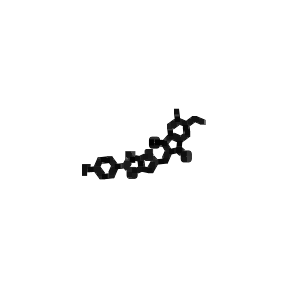 CCc1cc2c(cc1C)C(=O)/C(=C\c1cc3oc(-c4ccc(F)cc4)nc3s1)C2=O